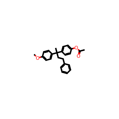 COc1ccc(C(C)(CCc2ccccc2)c2ccc(OC(C)=O)cc2)cc1